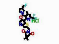 Cc1cc(C(F)(F)F)nc(-c2ccnc3cc(CN4C(=O)C5C(C4=O)C5(C)C)sc23)c1C(=O)N1CCC(CF)C1.Cl